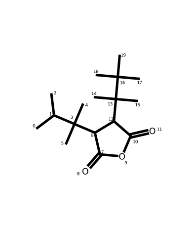 CC(C)C(C)(C)C1C(=O)OC(=O)C1C(C)(C)C(C)(C)C